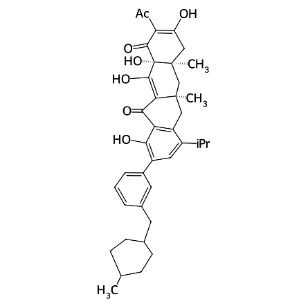 CC(=O)C1=C(O)C[C@@]2(C)C[C@@]3(C)Cc4c(C(C)C)cc(-c5cccc(CC6CCC(C)CC6)c5)c(O)c4C(=O)C3=C(O)[C@@]2(O)C1=O